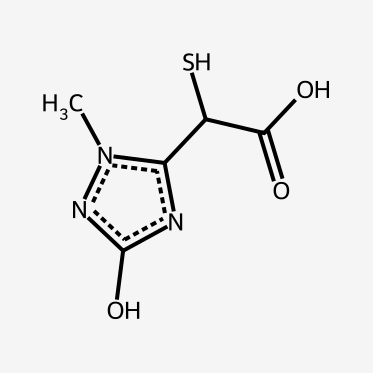 Cn1nc(O)nc1C(S)C(=O)O